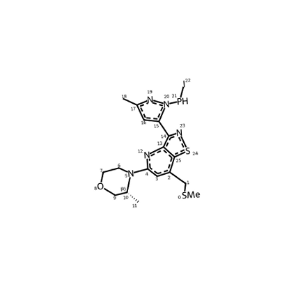 CSCc1cc(N2CCOC[C@H]2C)nc2c(-c3cc(C)nn3PI)nsc12